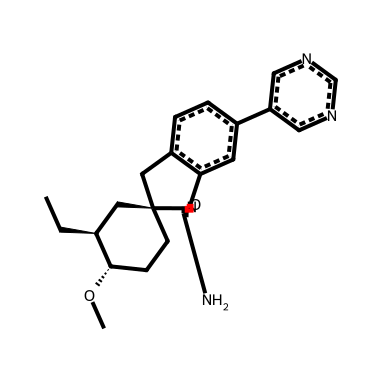 CC[C@H]1C[C@@]2(CC[C@@H]1OC)Cc1ccc(-c3cncnc3)cc1[C@@]21COC(N)=N1